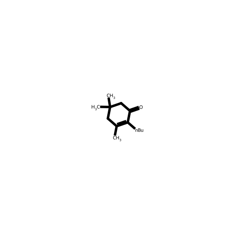 CCCCC1=C(C)CC(C)(C)CC1=O